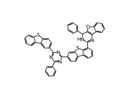 c1ccc(-c2nc(-c3ccc4c(c3)sc3c(C5=Nc6c(oc7ccccc67)C(c6ccccc6)N5)cccc34)nc(-c3ccc4sc5ccccc5c4c3)n2)cc1